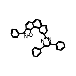 c1ccc(-c2cc(-c3ccccc3)nc(-c3ccc4ccc5ccc6c(-c7ccccc7)noc6c5c4c3)n2)cc1